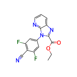 CCOC(=O)c1nc2cccnc2n1-c1cc(F)c(C#N)c(F)c1